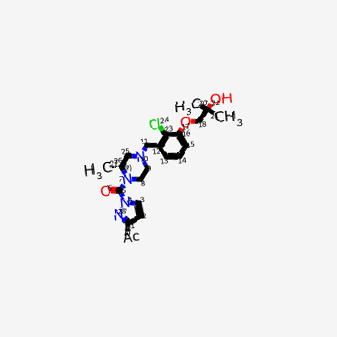 CC(=O)c1ccn(C(=O)N2CCN(Cc3cccc(OCC(C)(C)O)c3Cl)C[C@H]2C)n1